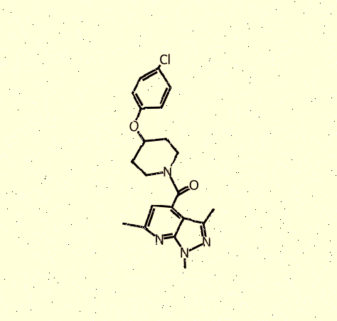 Cc1cc(C(=O)N2CCC(Oc3ccc(Cl)cc3)CC2)c2c(C)nn(C)c2n1